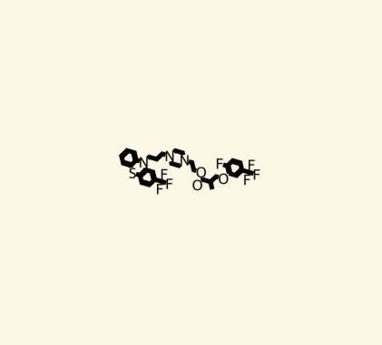 CC(COc1cc(C(F)(F)F)ccc1F)C(=O)OCCN1CCN(CCCN2c3ccccc3Sc3ccc(C(F)(F)F)cc32)CC1